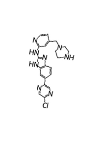 Clc1cnc(-c2ccc3nc(Nc4cc(CN5CCNCC5)ccn4)[nH]c3c2)cn1